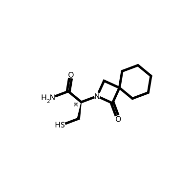 NC(=O)[C@H](CS)N1CC2(CCCCC2)C1=O